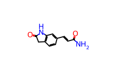 NC(=O)C=Cc1ccc2c(c1)NC(=O)C2